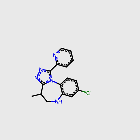 CC1CNc2cc(Cl)ccc2-n2c(-c3ccccn3)nnc21